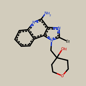 CCc1nc2c(N)nc3ccccc3c2n1CC1(O)CCOCC1